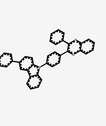 c1ccc(-c2ccc3c(c2)c2ccccc2n3-c2ccc(-c3nc4ccccc4nc3-c3ccccc3)cc2)cc1